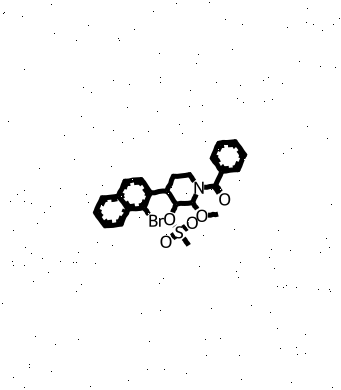 COC1C(OS(C)(=O)=O)C(c2ccc3ccccc3c2Br)CCN1C(=O)c1ccccc1